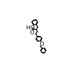 O=C(O)C(CCc1ccc(OCc2ccccc2)cc1)Cc1ccccc1